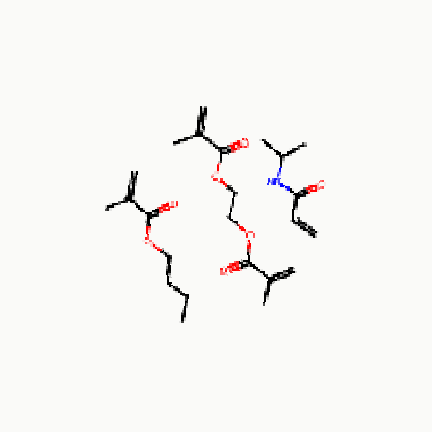 C=C(C)C(=O)OCCCC.C=C(C)C(=O)OCCOC(=O)C(=C)C.C=CC(=O)NC(C)C